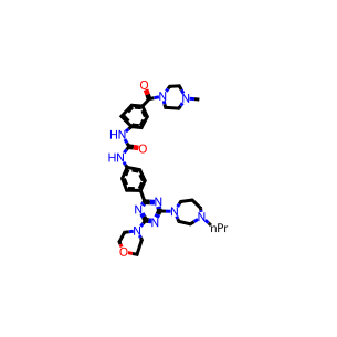 CCCN1CCCN(c2nc(-c3ccc(NC(=O)Nc4ccc(C(=O)N5CCN(C)CC5)cc4)cc3)nc(N3CCOCC3)n2)CC1